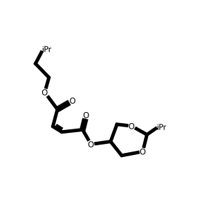 CC(C)CCOC(=O)/C=C\C(=O)OC1COC(C(C)C)OC1